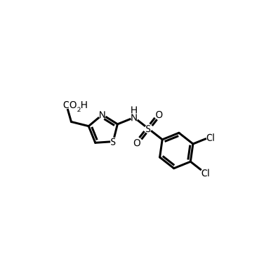 O=C(O)Cc1csc(NS(=O)(=O)c2ccc(Cl)c(Cl)c2)n1